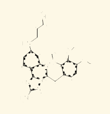 COc1ccc(Cc2nc3cc(NCCCO)ccc3c3nc(N)nn23)c(OC)c1OC